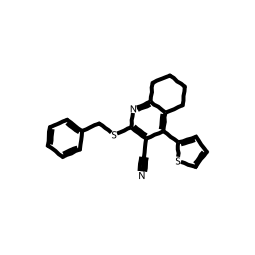 N#Cc1c(SCc2ccccc2)nc2c(c1-c1cccs1)CCCC2